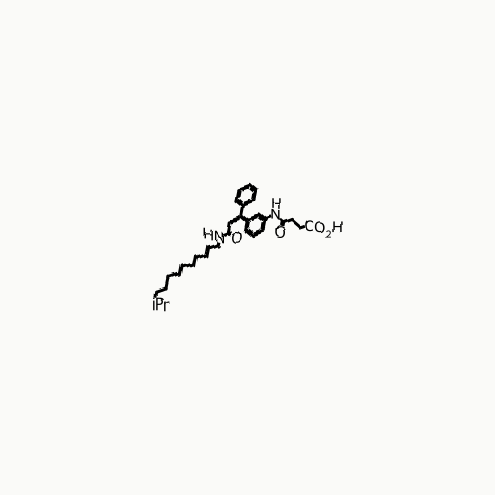 CC(C)CCCCCCCCCCNC(=O)/C=C(/c1ccccc1)c1cccc(NC(=O)CCC(=O)O)c1